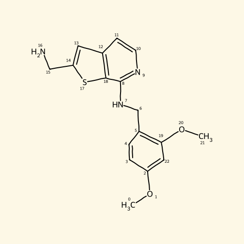 COc1ccc(CNc2nccc3cc(CN)sc23)c(OC)c1